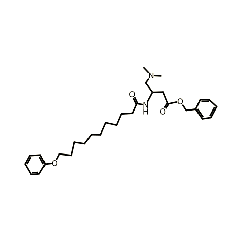 CN(C)CC(CC(=O)OCc1ccccc1)NC(=O)CCCCCCCCCCOc1ccccc1